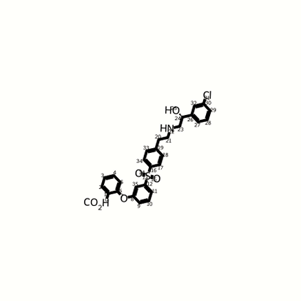 O=C(O)c1ccccc1Oc1cccc(S(=O)(=O)c2ccc(CCNC[C@H](O)c3cccc(Cl)c3)cc2)c1